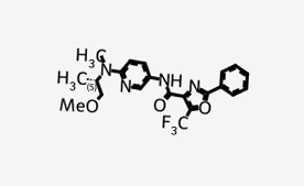 COC[C@H](C)N(C)c1ccc(NC(=O)c2nc(-c3ccccc3)oc2C(F)(F)F)cn1